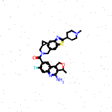 CC1OCc2c1c(N)nc1cc(F)c(C(=O)N(Cc3ccc4nc(C5CCN(C)CC5)sc4c3)CC3CC3)cc21